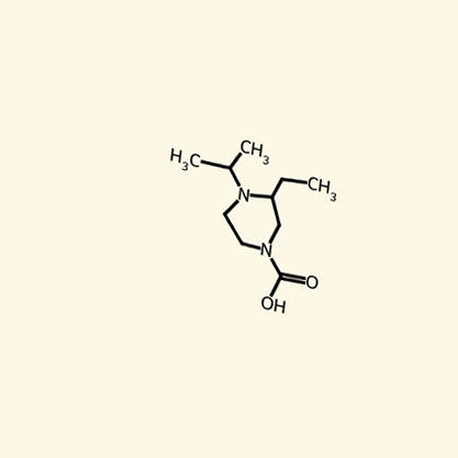 CCC1CN(C(=O)O)CCN1C(C)C